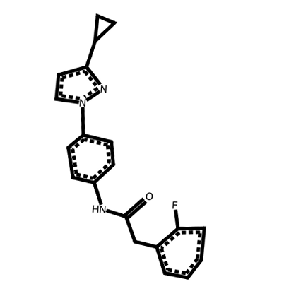 O=C(Cc1ccccc1F)Nc1ccc(-n2ccc(C3CC3)n2)cc1